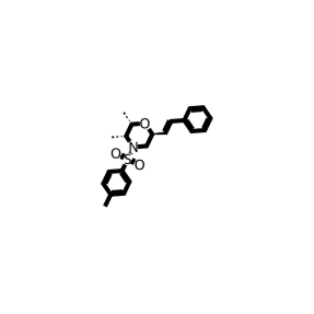 Cc1ccc(S(=O)(=O)N2C[C@H](/C=C/c3ccccc3)O[C@@H](C)[C@H]2C)cc1